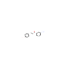 COc1ccc(C=CC(=O)c2cccc(N)c2)cc1